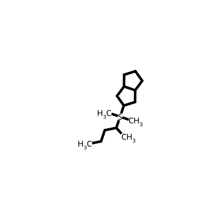 CCCC(C)S(C)(C)C1CC2CCCC2C1